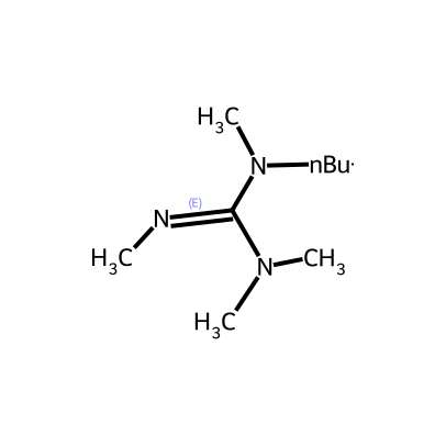 CCC[CH]N(C)/C(=N/C)N(C)C